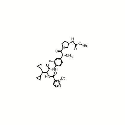 CCn1nccc1C(=O)N[C@H](C(=O)Nc1ccc([C@H](C)C(=O)N2CCC(NC(=O)OC(C)(C)C)C2)cc1F)C(C1CC1)C1CC1